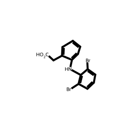 O=C(O)Cc1ccccc1Nc1c(Br)cccc1Br